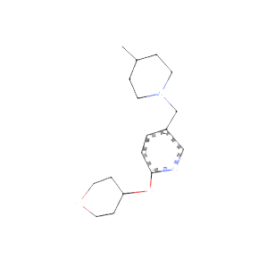 CC1CCN(Cc2ccc(OC3CCOCC3)nc2)CC1